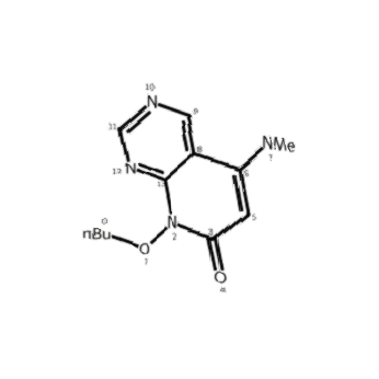 CCCCOn1c(=O)cc(NC)c2cncnc21